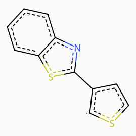 [c]1sccc1-c1nc2ccccc2s1